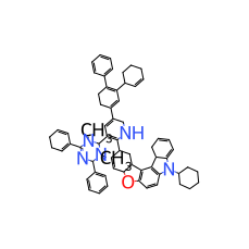 CN1C(C2=CCCC=C2)=NC(c2ccccc2)N(C)C1C1=C(C2C=CC3Oc4ccc5c(c4C3C2)C2CC=CC=C2N5C2CCCCC2)NCC(C2=CC(C3C=CCCC3)=C(c3ccccc3)CC2)=C1